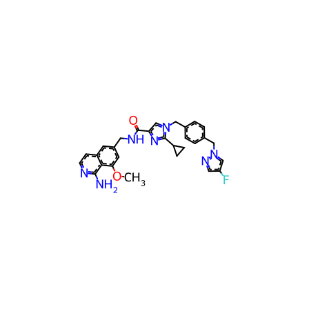 COc1cc(CNC(=O)c2cn(Cc3ccc(Cn4cc(F)cn4)cc3)c(C3CC3)n2)cc2ccnc(N)c12